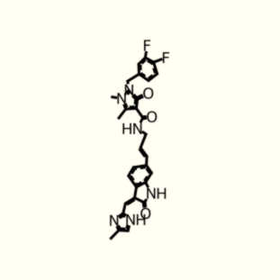 Cc1c[nH]c(/C=C2\C(=O)Nc3cc(/C=C/CNC(=O)c4c(C)n(C)n(Cc5ccc(F)c(F)c5)c4=O)ccc32)n1